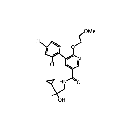 COCCOc1ncc(C(=O)NCC(C)(O)C2CC2)cc1-c1ccc(Cl)cc1Cl